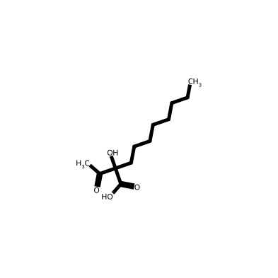 CCCCCCCCC(O)(C(C)=O)C(=O)O